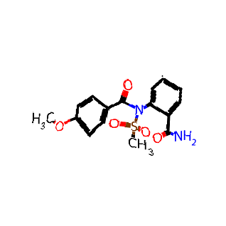 COc1ccc(C(=O)N(c2c[c]ccc2C(N)=O)S(C)(=O)=O)cc1